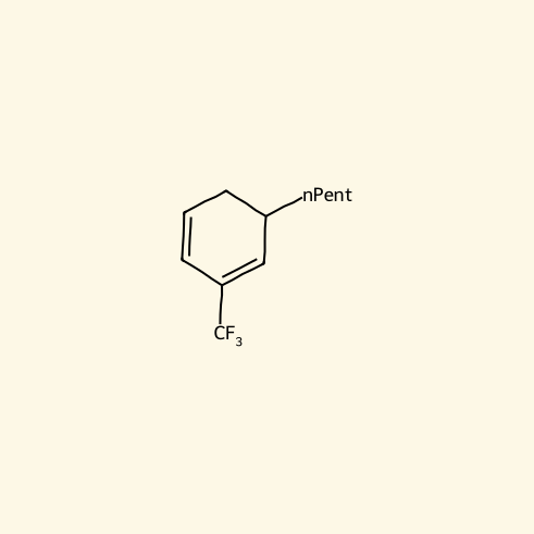 CCCCCC1C=C(C(F)(F)F)C=CC1